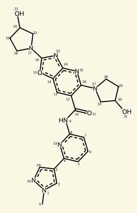 Cn1cc(-c2cccc(NC(=O)c3cc4oc(N5CCC(O)C5)nc4nc3N3CCC(O)C3)n2)cn1